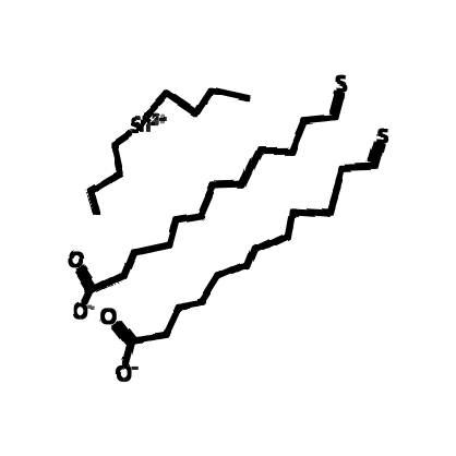 CCC[CH2][Sn+2][CH2]CCC.O=C([O-])CCCCCCCCCCC=S.O=C([O-])CCCCCCCCCCC=S